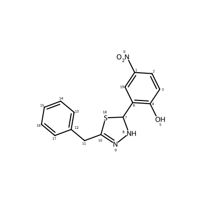 O=[N+]([O-])c1ccc(O)c(C2NN=C(Cc3ccccc3)S2)c1